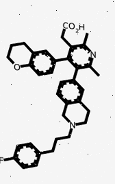 Cc1nc(C)c(-c2ccc3c(c2)CCN(CCCc2ccc(F)cc2)C3)c(-c2ccc3c(c2)CCCO3)c1CC(=O)O